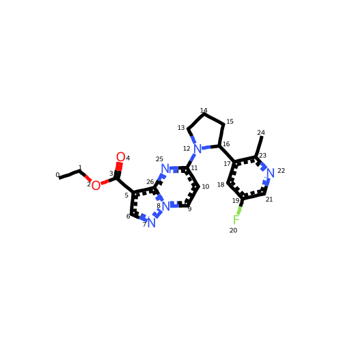 CCOC(=O)c1cnn2ccc(N3CCCC3c3cc(F)cnc3C)nc12